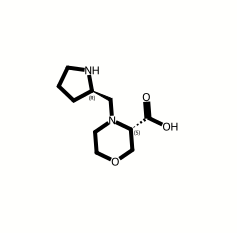 O=C(O)[C@@H]1COCCN1C[C@H]1CCCN1